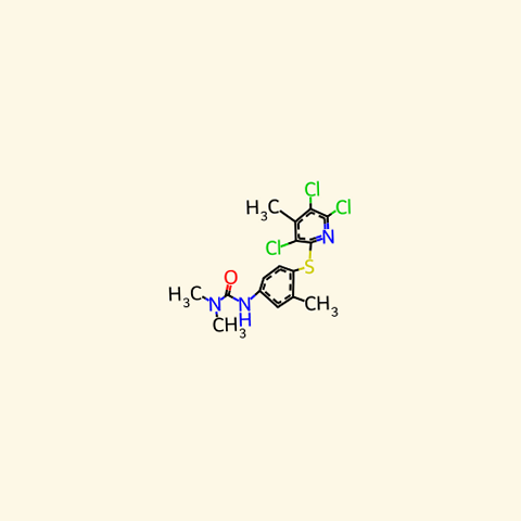 Cc1cc(NC(=O)N(C)C)ccc1Sc1nc(Cl)c(Cl)c(C)c1Cl